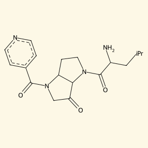 CC(C)CC(N)C(=O)N1CCC2C1C(=O)CN2C(=O)c1ccncc1